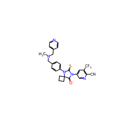 CN(Cc1ccncc1)Cc1ccc(N2C(=S)N(c3cnc(C#N)c(C(F)(F)F)c3)C(=O)C23CCC3)cc1